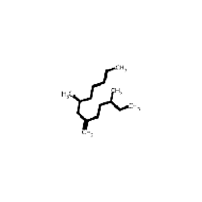 C=C(CCC(C)CC)CC(C)CCCCC